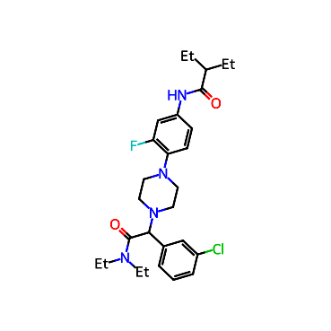 CCC(CC)C(=O)Nc1ccc(N2CCN(C(C(=O)N(CC)CC)c3cccc(Cl)c3)CC2)c(F)c1